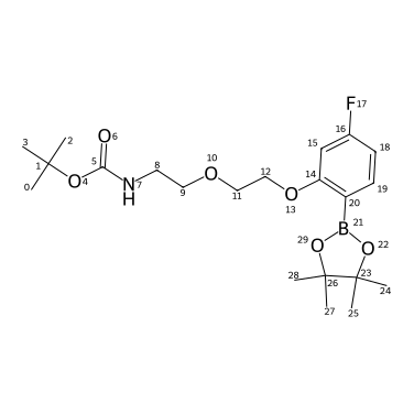 CC(C)(C)OC(=O)NCCOCCOc1cc(F)ccc1B1OC(C)(C)C(C)(C)O1